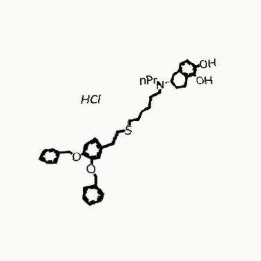 CCCN(CCCCCCSCCc1ccc(OCc2ccccc2)c(OCc2ccccc2)c1)[C@H]1CCc2c(ccc(O)c2O)C1.Cl